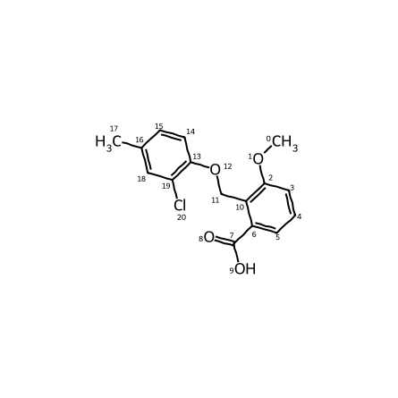 COc1cccc(C(=O)O)c1COc1ccc(C)cc1Cl